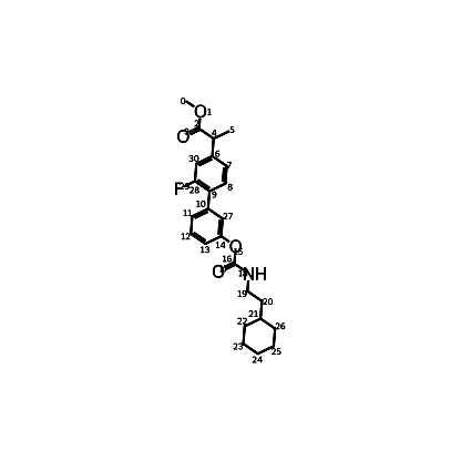 COC(=O)C(C)c1ccc(-c2cccc(OC(=O)NCCC3CCCCC3)c2)c(F)c1